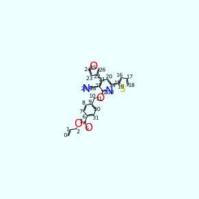 C=CCOC(=O)c1ccc(COc2nc(-c3cccs3)cc(-c3ccoc3)c2C#N)cc1